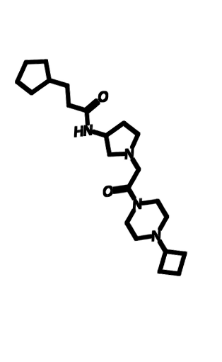 O=C(CCC1CCCC1)NC1CCN(CC(=O)N2CCN(C3CCC3)CC2)C1